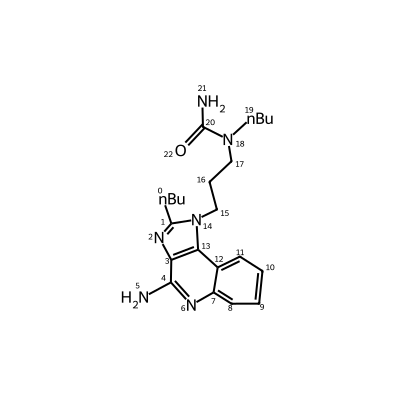 CCCCc1nc2c(N)nc3ccccc3c2n1CCCN(CCCC)C(N)=O